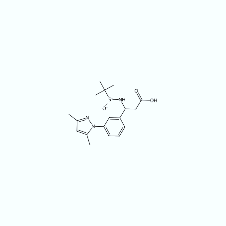 Cc1cc(C)n(-c2cccc(C(CC(=O)O)N[S@+]([O-])C(C)(C)C)c2)n1